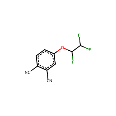 N#Cc1ccc(OC(F)C(F)F)cc1C#N